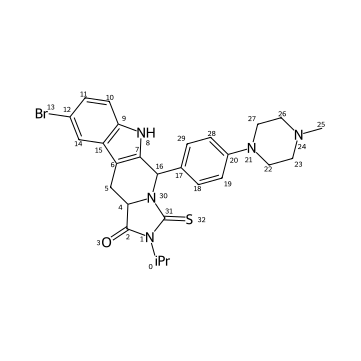 CC(C)N1C(=O)C2Cc3c([nH]c4ccc(Br)cc34)C(c3ccc(N4CCN(C)CC4)cc3)N2C1=S